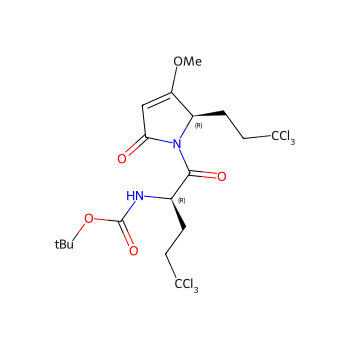 COC1=CC(=O)N(C(=O)[C@@H](CCC(Cl)(Cl)Cl)NC(=O)OC(C)(C)C)[C@@H]1CCC(Cl)(Cl)Cl